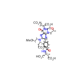 COCCN(CCC(=O)O)c1nc(C(=O)N[C@H](CC(=O)O)C(=O)O)c(N2CCOCC2)nc1-c1ccc(C(=O)N[C@H](CC(=O)O)C(=O)O)cc1